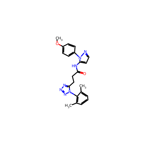 COc1ccc(-n2nccc2NC(=O)CCc2nnnn2-c2c(C)cccc2C)cc1